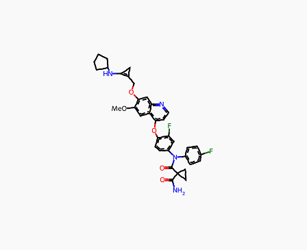 COc1cc2c(Oc3ccc(N(C(=O)C4(C(N)=O)CC4)c4ccc(F)cc4)cc3F)ccnc2cc1OCC1=C(NC2CCCC2)C1